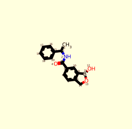 CC(NC(=O)c1ccc2c(c1)B(O)OC2)c1ccccc1